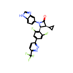 O=C1[C@@H](C2CC2)[C@@H](c2c(F)cc(-c3ccc(C(F)(F)F)nn3)cc2F)N1c1ccc2[nH]cnc2c1